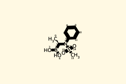 C[C@@H](B(O)O)N(c1ccccc1)S(C)(=O)=O